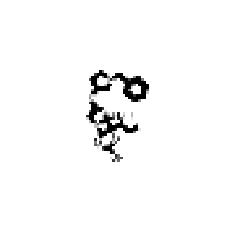 CC[C@H](O)[C@@]1(OC(=O)O)C(=O)N2C=C(SC3CCN(Cc4ccccc4)C3)S[C@@H]21